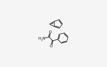 NC(=O)C(=O)c1ccccc1.c1cc2cc-2c1